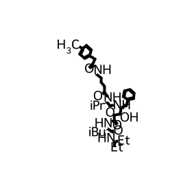 CCC(CC)NC(=O)[C@@H](NC(=O)C[C@H](O)C(Cc1ccccc1)NC(=O)[C@@H](NC(=O)CCCCNC(=O)Cc1ccc(C)cc1)C(C)C)[C@@H](C)CC